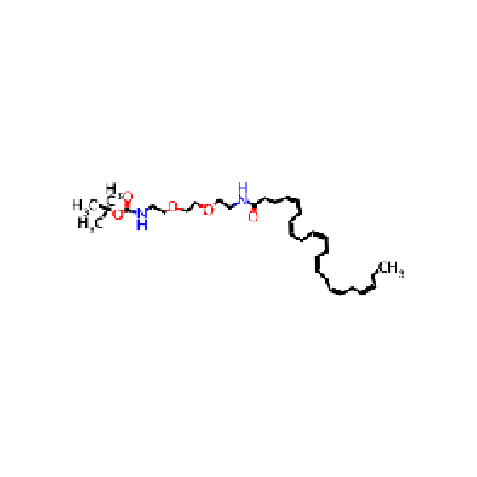 CC/C=C\C/C=C\C/C=C\C/C=C\C/C=C\C/C=C\CCC(=O)NCCOCCOCCNC(=O)OC(C)(C)C